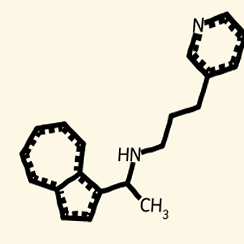 CC(NCCCc1cccnc1)c1ccc2cccccc1-2